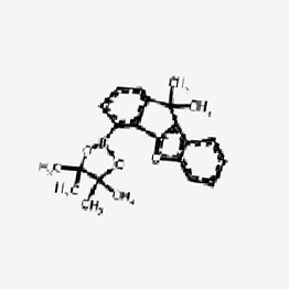 CC1(C)c2cccc(B3OC(C)(C)C(C)(C)O3)c2-c2oc3ccccc3c21